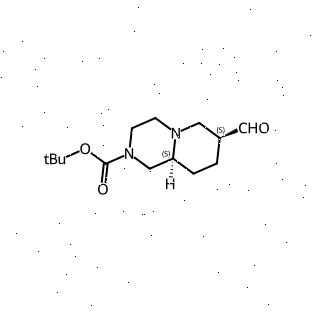 CC(C)(C)OC(=O)N1CCN2C[C@@H](C=O)CC[C@H]2C1